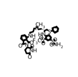 CN(CCCNc1cccc2c1C(=O)N(C1CCC(=O)NC1=O)C2=O)CC[C@H](CSc1ccccc1)Nc1ccc(S(N)(=O)=O)cc1S(=O)(=O)C(F)(F)F